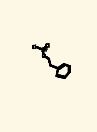 [Cl][Sn]([Cl])[O]CCc1ccccc1